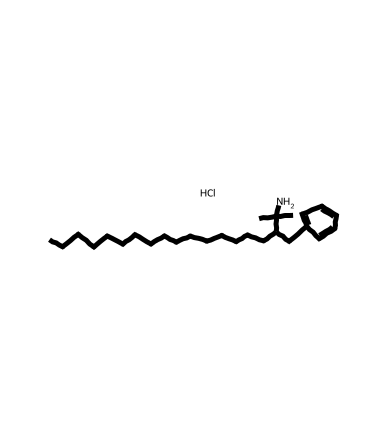 CCCCCCCCCCCCCCCCC(Cc1ccccc1)C(C)(C)N.Cl